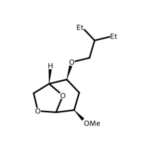 CCC(CC)CO[C@H]1C[C@@H](OC)C2OC[C@H]1O2